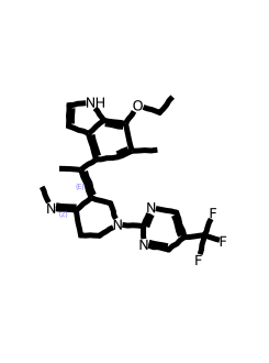 CCOc1c(C)cc(/C(C)=C2\CN(c3ncc(C(F)(F)F)cn3)CC\C2=N\C)c2cc[nH]c12